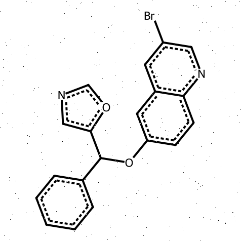 Brc1cnc2ccc(OC(c3ccccc3)c3cnco3)cc2c1